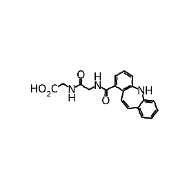 O=C(O)CNC(=O)CNC(=O)c1cccc2c1C=Cc1ccccc1N2